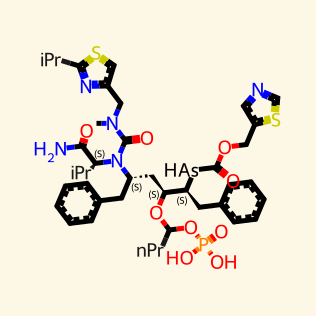 CCCC(O[C@@H](C[C@H](Cc1ccccc1)N(C(=O)N(C)Cc1csc(C(C)C)n1)[C@H](C(N)=O)C(C)C)[C@H](Cc1ccccc1)[AsH]C(=O)OCc1cncs1)OP(=O)(O)O